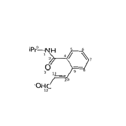 CC(C)NC(=O)c1ccccc1/C=C/[C]=O